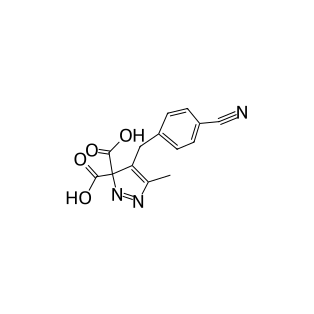 CC1=C(Cc2ccc(C#N)cc2)C(C(=O)O)(C(=O)O)N=N1